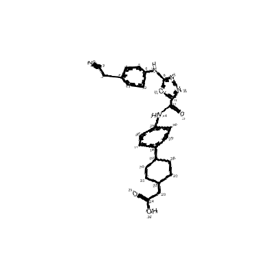 N#CCc1ccc(Nc2nnc(C(=O)Nc3ccc(C4CCC(CC(=O)O)CC4)cc3)o2)cc1